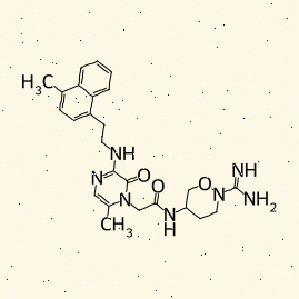 Cc1ccc(CCNc2ncc(C)n(CC(=O)NC3CCN(C(=N)N)OC3)c2=O)c2ccccc12